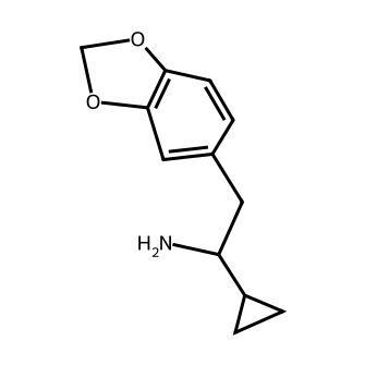 NC(Cc1ccc2c(c1)OCO2)C1CC1